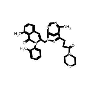 Cc1ccccc1-n1c(CN2N=C(CCC(=O)N3CCOCC3)C3=C=C2N=CN=C3N)cc2cccc(C)c2c1=O